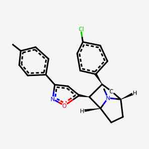 Cc1ccc(-c2cc([C@H]3[C@@H](c4ccc(Cl)cc4)C[C@@H]4CC[C@H]3N4C)on2)cc1